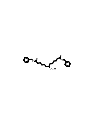 O=C(CCCCCC(CCCCCC(=O)OCc1ccccc1)C(=O)O)OCc1ccccc1